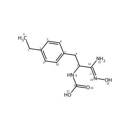 CCc1ccc(CC(NC(=O)O)/C(N)=N/O)cc1